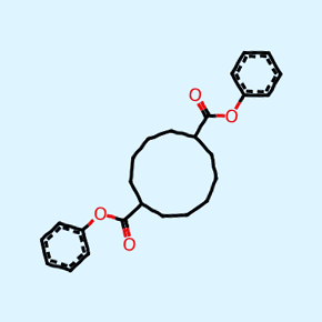 O=C(Oc1ccccc1)C1CCCCCC(C(=O)Oc2ccccc2)CCCC1